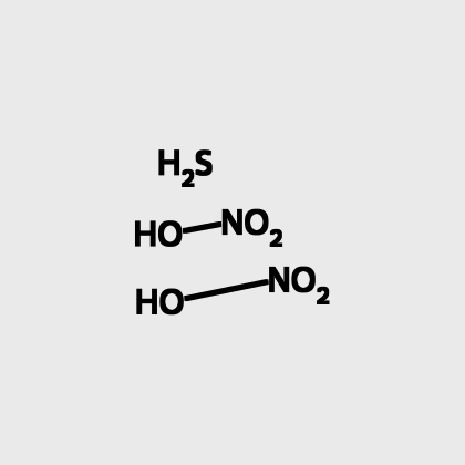 O=[N+]([O-])O.O=[N+]([O-])O.S